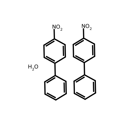 O.O=[N+]([O-])c1ccc(-c2ccccc2)cc1.O=[N+]([O-])c1ccc(-c2ccccc2)cc1